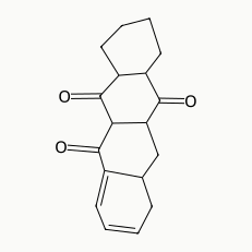 O=C1C2CCCCC2C(=O)C2C(=O)C3=CC=CCC3CC12